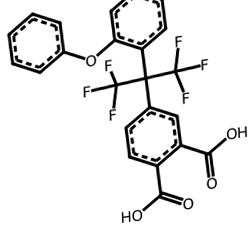 O=C(O)c1ccc(C(c2ccccc2Oc2ccccc2)(C(F)(F)F)C(F)(F)F)cc1C(=O)O